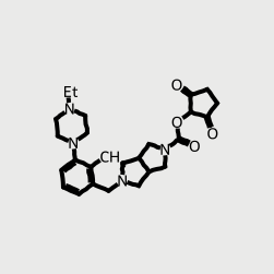 CCN1CCN(c2cccc(CN3CC4CN(C(=O)OC5C(=O)CCC5=O)CC4C3)c2C)CC1